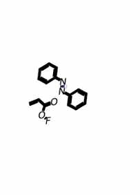 C=CC(=O)OF.c1ccc(/N=N/c2ccccc2)cc1